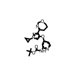 CC(C)(C)OC(=O)Nc1cc(Oc2cn(C3CC3)nc2C2=NCOCCC2)ccn1